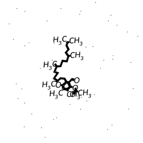 CC(=O)Oc1c(C)c(C)c2c(c1C=O)CCC(C)(CCCC(C)CCCC(C)CCCC(C)C)O2